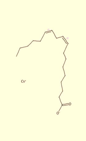 CCCCC/C=C\C/C=C\CCCCCCCC(=O)[O-].[Cs+]